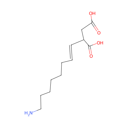 NCCCCCCC=CC(CC(=O)O)C(=O)O